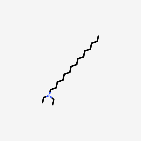 CCCCCCCCCCC[CH]CCCN(CC)CC